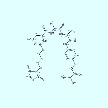 CC(C)C(C)C(=O)OCc1ccc(NC(=O)[C@H](C)NC(=O)C(NC(=O)[C@H](CS(=O)(=O)O)NC(=O)CCCCCN2C(=O)C=CC2=O)C(C)C)cc1